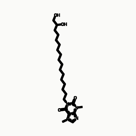 Cn1cnc2c1c(=O)n(CCCCCCCCCCCCCCCC(O)CO)c(=O)n2C